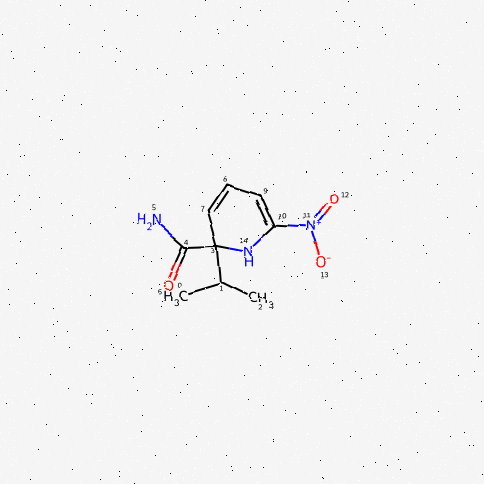 CC(C)C1(C(N)=O)C=CC=C([N+](=O)[O-])N1